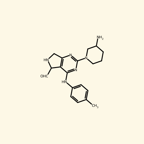 Cc1ccc(Nc2nc(N3CCCC(N)C3)nc3c2C(C=O)NC3)cc1